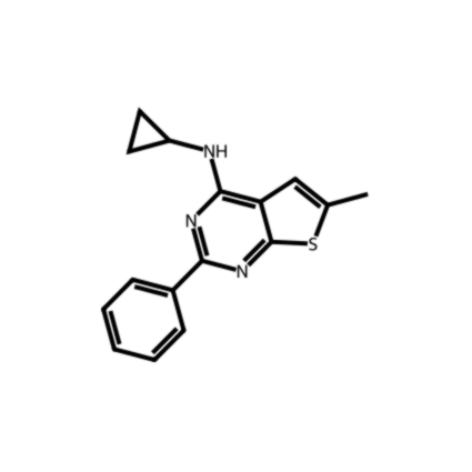 Cc1cc2c(NC3CC3)nc(-c3ccccc3)nc2s1